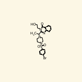 CC(c1nc2ccccc2c(=O)n1CCO)N1CCN(S(=O)(=O)c2ccc(Br)cc2)CC1